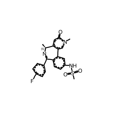 C[C@@H]1N=C(c2ccc(F)cc2)c2ccc(NS(C)(=O)=O)cc2-c2cn(C)c(=O)cc21